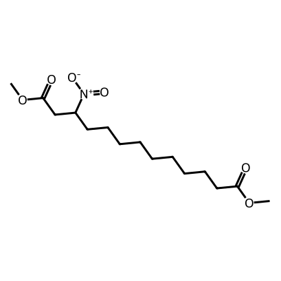 COC(=O)CCCCCCCCCC(CC(=O)OC)[N+](=O)[O-]